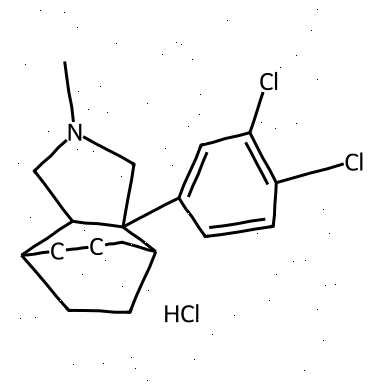 CN1CC2C3CCCC(CC3)C2(c2ccc(Cl)c(Cl)c2)C1.Cl